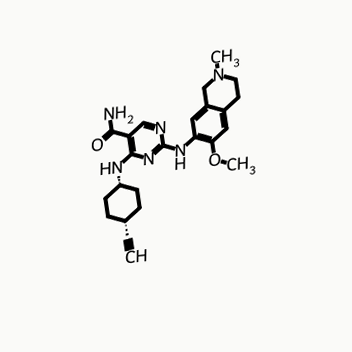 C#C[C@H]1CC[C@@H](Nc2nc(Nc3cc4c(cc3OC)CCN(C)C4)ncc2C(N)=O)CC1